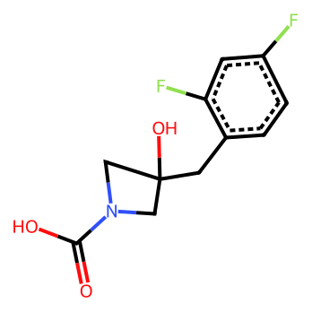 O=C(O)N1CC(O)(Cc2ccc(F)cc2F)C1